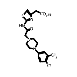 CCOC(=O)Cc1csc(NC(=O)CN2CCN(c3ccc(Cl)c(C(F)(F)F)c3)CC2)n1